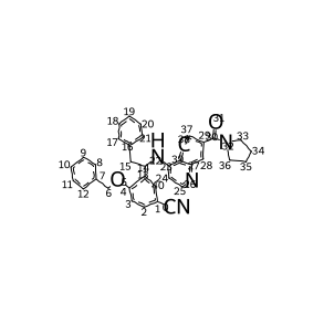 N#Cc1ccc(OCc2ccccc2)c(C(Cc2ccccc2)Nc2ccnc3cc(C(=O)N4CCCC4)ccc23)c1